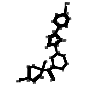 CC1(C(=O)N2CCC[C@H](n3nnc(-c4ccc(F)cc4)n3)C2)C=CC(F)=CC1